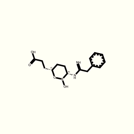 N=C(Cc1ccccc1)N[C@H]1CC[C@@H](CCC(=O)O)OB1O